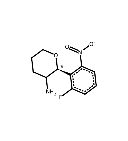 NC1CCCO[C@H]1c1c(F)cccc1[N+](=O)[O-]